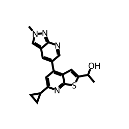 CC(O)c1cc2c(-c3cnc4nn(C)cc4c3)cc(C3CC3)nc2s1